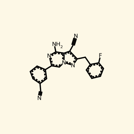 N#Cc1cccc(-c2cn3nc(Cc4ccccc4F)c(C#N)c3c(N)n2)c1